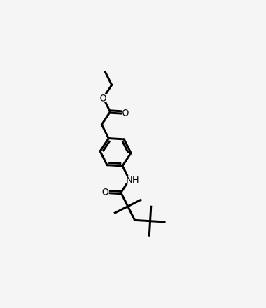 CCOC(=O)Cc1ccc(NC(=O)C(C)(C)CC(C)(C)C)cc1